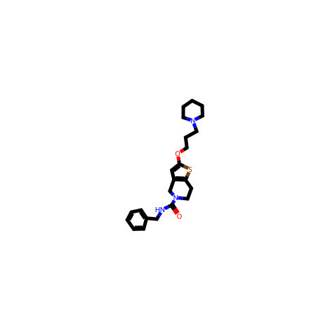 O=C(NCc1ccccc1)N1CCc2sc(OCCCN3CCCCC3)cc2C1